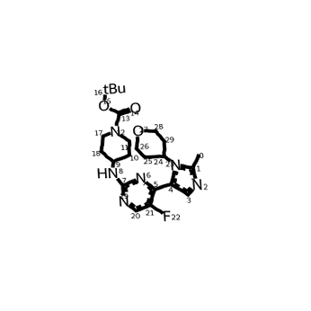 Cc1ncc(-c2nc(NC3CCN(C(=O)OC(C)(C)C)CC3)ncc2F)n1C1CCOCC1